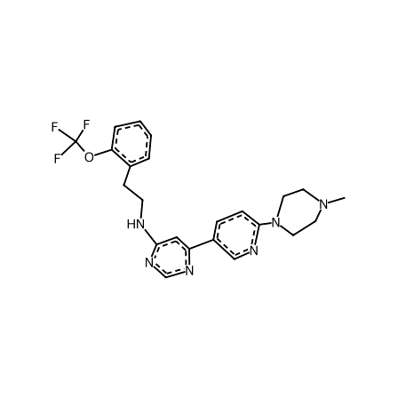 CN1CCN(c2ccc(-c3cc(NCCc4ccccc4OC(F)(F)F)ncn3)cn2)CC1